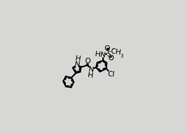 CS(=O)(=O)Nc1cc(Cl)cc(NC(=O)c2cc(-c3ccccc3)c[nH]2)c1